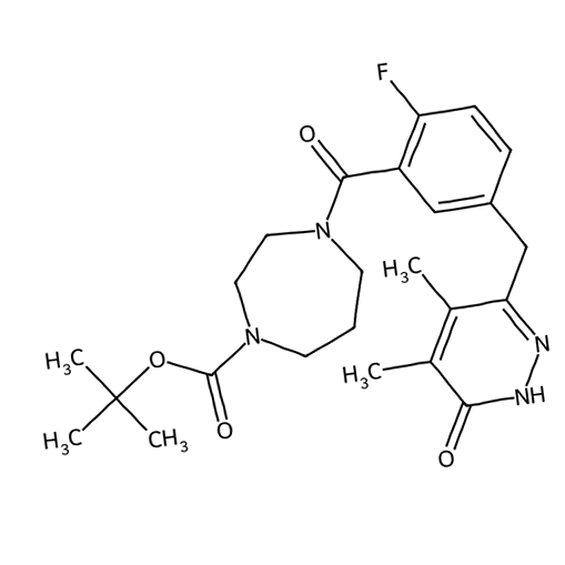 Cc1c(Cc2ccc(F)c(C(=O)N3CCCN(C(=O)OC(C)(C)C)CC3)c2)n[nH]c(=O)c1C